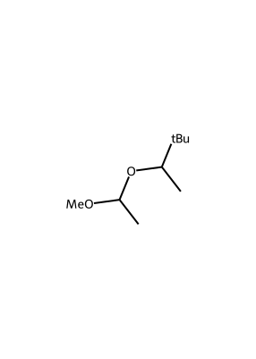 COC(C)OC(C)C(C)(C)C